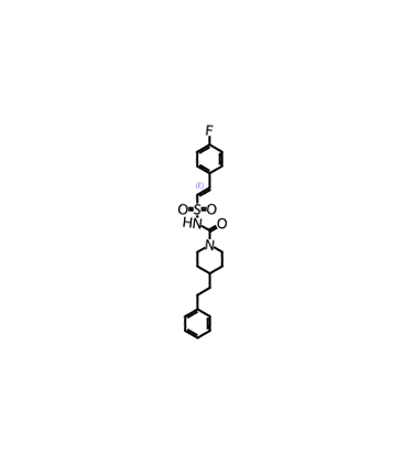 O=C(NS(=O)(=O)/C=C/c1ccc(F)cc1)N1CCC(CCc2ccccc2)CC1